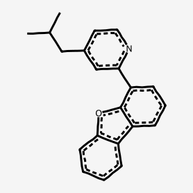 CC(C)Cc1ccnc(-c2cccc3c2oc2ccccc23)c1